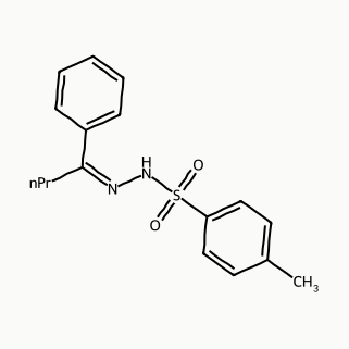 CCCC(=NNS(=O)(=O)c1ccc(C)cc1)c1ccccc1